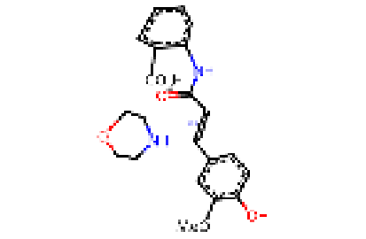 C1COCCN1.COc1cc(/C=C/C(=O)Nc2ccccc2C(=O)O)ccc1O